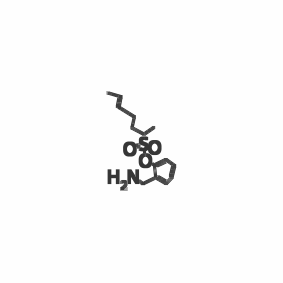 CC=CCCC(C)S(=O)(=O)Oc1ccccc1CN